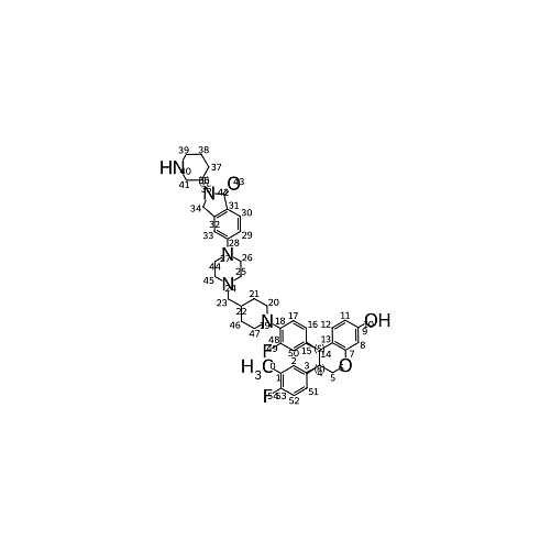 Cc1cc([C@@H]2COc3cc(O)ccc3[C@@H]2c2ccc(N3CCC(CN4CCN(c5ccc6c(c5)CN([C@H]5CCCNC5)C6=O)CC4)CC3)c(F)c2)ccc1F